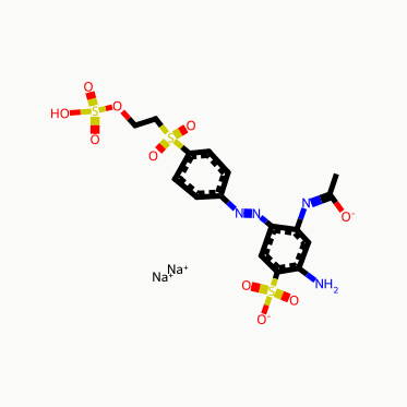 CC([O-])=Nc1cc(N)c(S(=O)(=O)[O-])cc1N=Nc1ccc(S(=O)(=O)CCOS(=O)(=O)O)cc1.[Na+].[Na+]